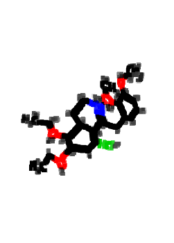 CCOc1ccc2c(Cc3cccc(OC)c3OC)nccc2c1OCC.Cl